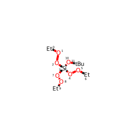 CCOO[Si](OOCC)(OOCC)OC(C)(C)C